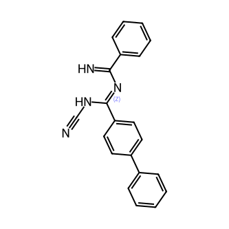 N#CN/C(=N\C(=N)c1ccccc1)c1ccc(-c2ccccc2)cc1